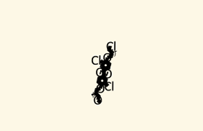 COC[C@@H](C)COc1ccc(S(=O)(=O)c2ccc(OC[C@@H](C)CCl)c(Cl)c2)cc1Cl